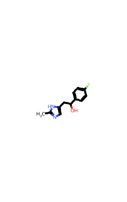 Cc1ncc(CC(O)c2ccc(F)cc2)[nH]1